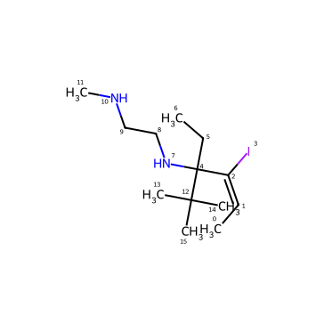 C/C=C(/I)C(CC)(NCCNC)C(C)(C)C